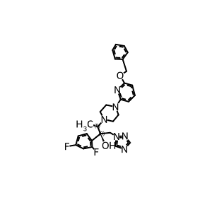 C[C@@H](N1CCN(c2cccc(OCc3ccccc3)n2)CC1)[C@](O)(Cn1cncn1)c1ccc(F)cc1F